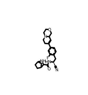 N#C[C@H](Cc1ccc(C2=CC3COCCN3CC2)cc1F)NC(=O)C1NC2CCC1C2